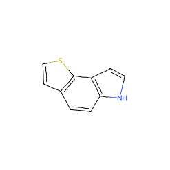 c1cc2c(ccc3ccsc32)[nH]1